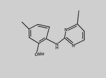 COc1cc(C)ccc1Nc1nccc(C)n1